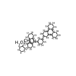 CC1(C)c2ccccc2-c2ccc3c(c21)c1ccccc1n3-c1cccc(-c2ccc3c4ccccc4c4ccccc4c3c2)c1